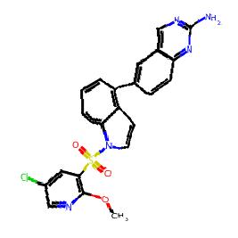 COc1ncc(Cl)cc1S(=O)(=O)n1ccc2c(-c3ccc4nc(N)ncc4c3)cccc21